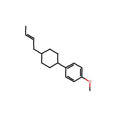 CC=CCC1CCC(c2ccc(OC)cc2)CC1